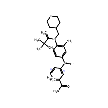 C=C(/C=C(\C=C/C)[S+]([O-])c1ccc(N(CC2CCOCC2)C(=C)C(C)(C)C)c(N)c1)C(N)=O